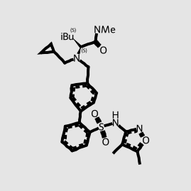 CC[C@H](C)[C@@H](C(=O)NC)N(Cc1ccc(-c2ccccc2S(=O)(=O)Nc2noc(C)c2C)cc1)CC1CC1